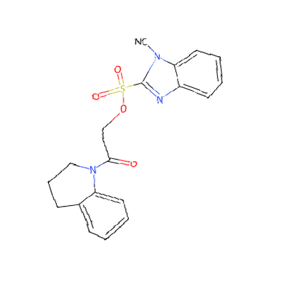 N#Cn1c(S(=O)(=O)OCC(=O)N2CCCc3ccccc32)nc2ccccc21